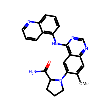 COc1cc2ncnc(Nc3cccc4ncccc34)c2cc1N1CCCC1C(N)=O